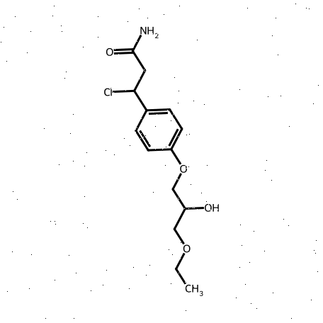 CCOCC(O)COc1ccc(C(Cl)CC(N)=O)cc1